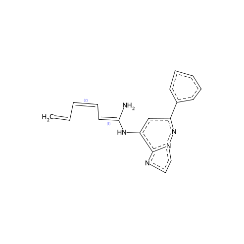 C=C/C=C\C=C(/N)Nc1cc(-c2ccccc2)nn2ccnc12